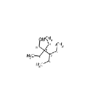 CC[C](CC)C(CC)(CC)CO